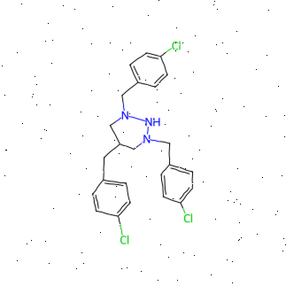 Clc1ccc(CC2CN(Cc3ccc(Cl)cc3)NN(Cc3ccc(Cl)cc3)C2)cc1